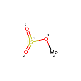 O=[SH](=O)[O][Mo]